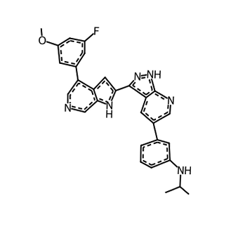 COc1cc(F)cc(-c2cncc3[nH]c(-c4n[nH]c5ncc(-c6cccc(NC(C)C)c6)cc45)cc23)c1